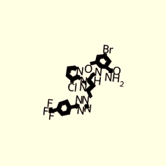 Cc1cc(Br)cc(C(N)=O)c1NC(=O)c1cc(Cn2nnc(-c3ccc(C(F)(F)F)cc3)n2)nn1-c1ncccc1Cl